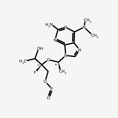 CC(O)[C@@](F)(COP=O)O[C@H](C)n1cnc2c(N(C)C)nc(N)nc21